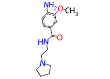 COc1cc(C(=O)NCCN2CCCC2)ccc1N